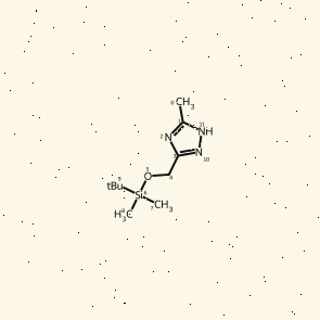 Cc1nc(CO[Si](C)(C)C(C)(C)C)n[nH]1